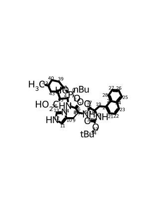 CCCCP(=O)(O)C(NC(=O)[C@H](Cc1c[nH]cn1)NC(=O)C(Cc1cccc2ccccc12)NC(=O)OC(C)(C)C)C(C(=O)O)C1CCCC(C)C1